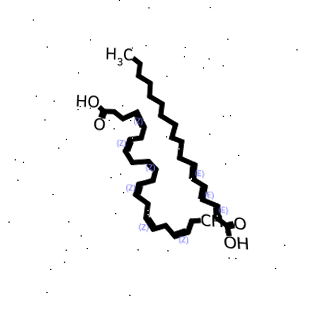 CC/C=C\C/C=C\C/C=C\C/C=C\C/C=C\C/C=C\CCC(=O)O.CCCCCCCCCCC/C=C/C=C/C=C/C(=O)O